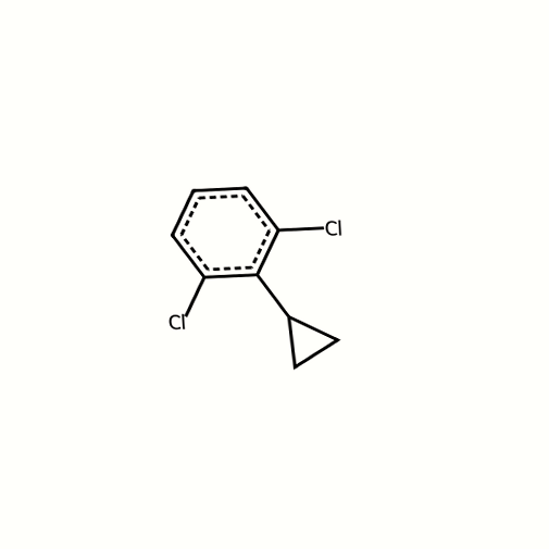 Clc1cccc(Cl)c1C1CC1